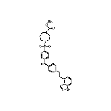 CC(C)(C)OC(=O)N1CCCN(S(=O)(=O)c2ccc(Nc3ncc(C=Cc4cccc5[nH]ccc45)cn3)cc2)CC1